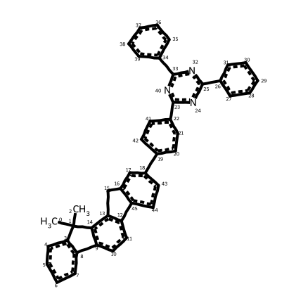 CC1(C)c2ccccc2-c2ccc3c(c21)Cc1cc(-c2ccc(-c4nc(-c5ccccc5)nc(-c5ccccc5)n4)cc2)ccc1-3